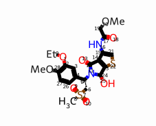 CCOc1cc([C@@H](CS(C)(=O)=O)N2C(=O)c3c(NC(=O)COC)csc3C2O)ccc1OC